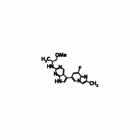 COCC(C)Nc1ncc2c(-c3cc(F)c4nc(C)cn4c3)c[nH]c2n1